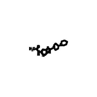 CC(=O)Nc1cc2sc(N3CCC(N4CCCCC4)CC3)nc2cn1